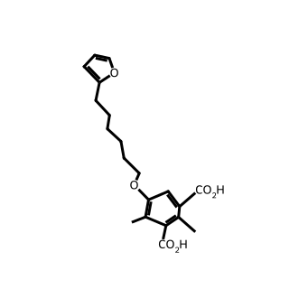 Cc1c(OCCCCCCc2ccco2)cc(C(=O)O)c(C)c1C(=O)O